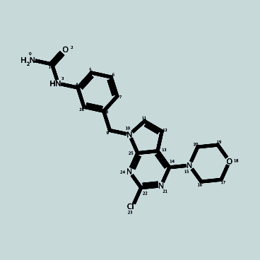 NC(=O)Nc1cccc(Cn2ccc3c(N4CCOCC4)nc(Cl)nc32)c1